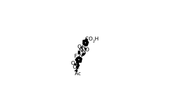 CC(=O)CC[C@H]1CN(c2ccc(N3CCn4c(=O)n(-c5ccc(C(=O)O)cc5)c(=O)n4CC3)c(F)c2)C(=O)O1